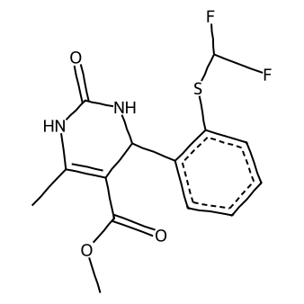 COC(=O)C1=C(C)NC(=O)NC1c1ccccc1SC(F)F